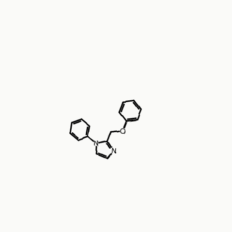 c1ccc(OCc2nccn2-c2ccccc2)cc1